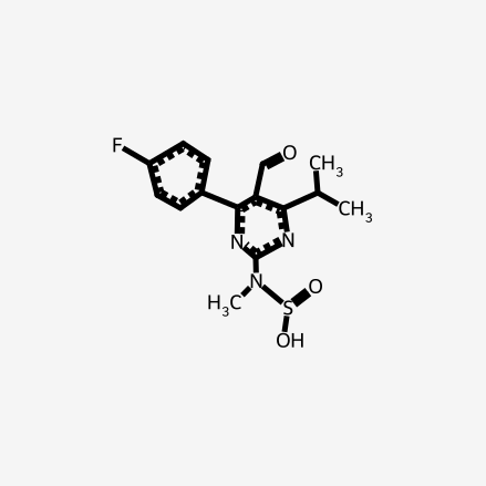 CC(C)c1nc(N(C)S(=O)O)nc(-c2ccc(F)cc2)c1C=O